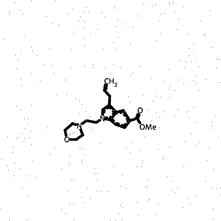 C=CCc1cn(CCN2CCOCC2)c2ccc(C(=O)OC)cc12